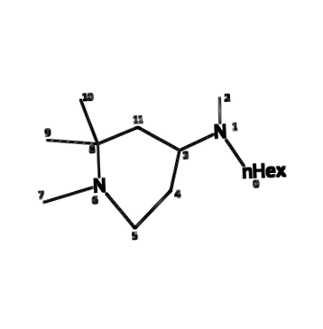 CCCCCCN(C)C1CCN(C)C(C)(C)C1